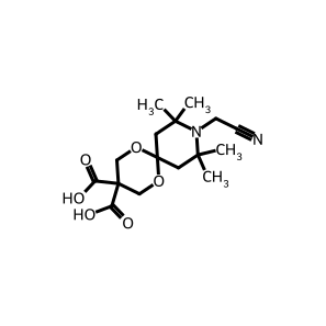 CC1(C)CC2(CC(C)(C)N1CC#N)OCC(C(=O)O)(C(=O)O)CO2